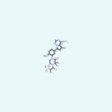 CC(C(=O)N1CCN(c2cc(-c3cc(Cl)c4c(N)ncnn34)ccc2C#N)C(=O)C1(C)C)S(C)(=O)=O